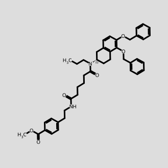 CCCN(C(=O)CCCCC(=O)NCCc1ccc(C(=O)OC)cc1)[C@H]1CCc2c(ccc(OCc3ccccc3)c2OCc2ccccc2)C1